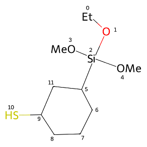 CCO[Si](OC)(OC)C1CCCC(S)C1